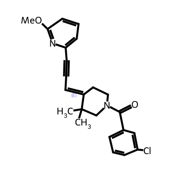 COc1cccc(C#C/C=C2\CCN(C(=O)c3cccc(Cl)c3)CC2(C)C)n1